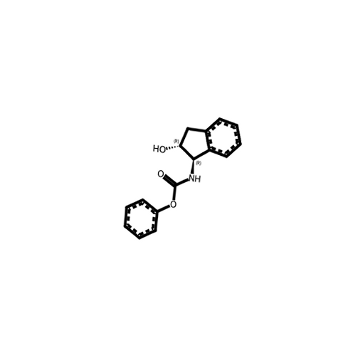 O=C(N[C@@H]1c2ccccc2C[C@H]1O)Oc1ccccc1